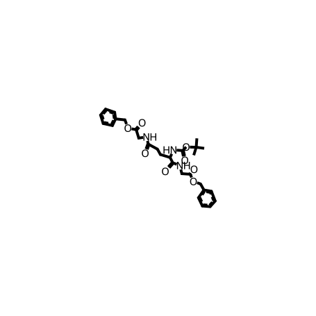 CC(C)(C)OC(=O)NC(CCC(=O)NCC(=O)OCc1ccccc1)C(=O)NCC(=O)OCc1ccccc1